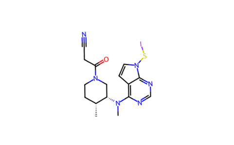 C[C@@H]1CCN(C(=O)CC#N)C[C@@H]1N(C)c1ncnc2c1ccn2SI